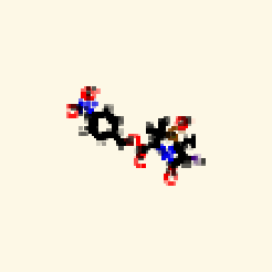 CC1(C)[C@H](C(=O)OCc2ccc([N+](=O)[O-])cc2)N2C(=O)[C@H](I)[C@H]2[S@@+]1[O-]